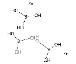 OB(O)O.OB(O)O.OB(O)O.[Zn].[Zn]